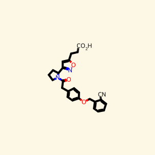 N#Cc1ccccc1COc1ccc(CC(=O)N2CCCC2c2cc(CCC(=O)O)on2)cc1